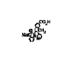 C=C1C(Cc2ccc(C(=O)O)cc2)=C(C(=O)OC)N(c2ccccc2)c2ncccc21